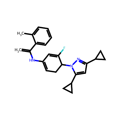 C=C(NC1=CCC(n2nc(C3CC3)cc2C2CC2)C(F)=C1)c1ccccc1C